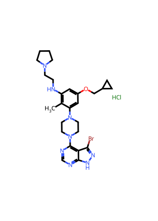 Cc1c(NCCN2CCCC2)cc(OCC2CC2)cc1N1CCN(c2ncnc3[nH]nc(Br)c23)CC1.Cl